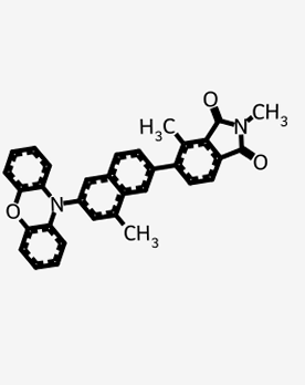 Cc1c(-c2ccc3cc(N4c5ccccc5Oc5ccccc54)cc(C)c3c2)ccc2c1C(=O)N(C)C2=O